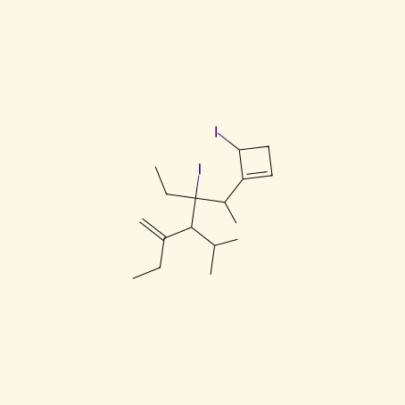 C=C(CC)C(C(C)C)C(I)(CC)C(C)C1=CCC1I